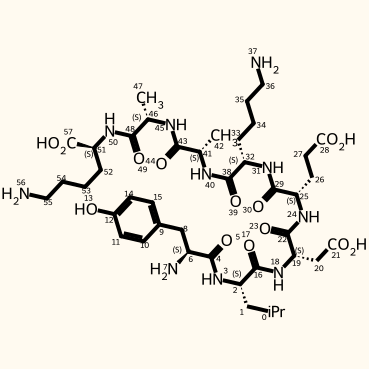 CC(C)C[C@H](NC(=O)[C@@H](N)Cc1ccc(O)cc1)C(=O)N[C@@H](CC(=O)O)C(=O)N[C@@H](CCC(=O)O)C(=O)N[C@@H](CCCCN)C(=O)N[C@@H](C)C(=O)N[C@@H](C)C(=O)N[C@@H](CCCCN)C(=O)O